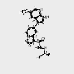 Cc1cnc2[nH]cc(-c3ccn4ncc(C(=O)NCC(F)F)c4c3)c2c1